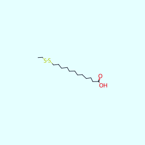 CCSSCCCCCCCCCCCC(=O)O